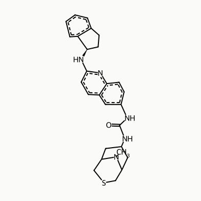 CN1C2CSCC1CC(NC(=O)Nc1ccc3nc(N[C@@H]4CCc5ccccc54)ccc3c1)C2